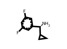 N[C@@H](c1cc(F)cc(F)c1)C1CC1